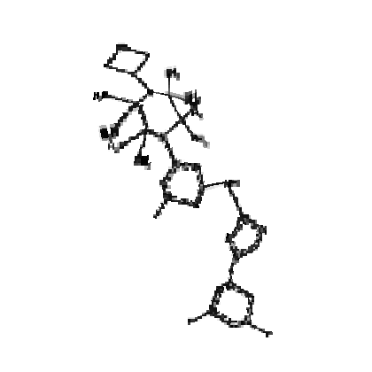 BC1(B)N(c2cc(C)cc(Nc3ncn(-c4cc(F)cc(F)c4)n3)c2)C(B)(B)C(B)(B)N(C2COC2)C1(B)B